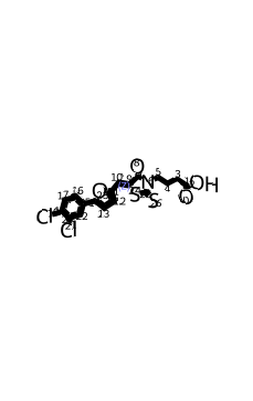 O=C(O)CCCN1C(=O)/C(=C/c2ccc(-c3ccc(Cl)c(Cl)c3)o2)SC1=S